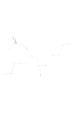 C=C(C)COCC(CC)(COCC(=C)C)COCC(=C)C